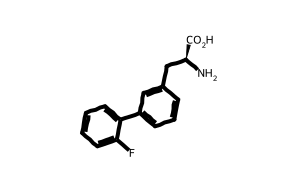 N[C@@H](Cc1cccc(-c2ccccc2F)c1)C(=O)O